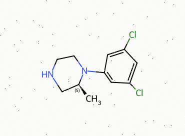 C[C@H]1CNCCN1c1cc(Cl)cc(Cl)c1